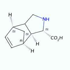 O=C(O)[C@H]1NCC2[C@@H]1[C@H]1C=C[C@@H]2C1